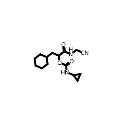 N#CCNC(=O)C(CC1CCCCC1)OC(=O)NC1CC1